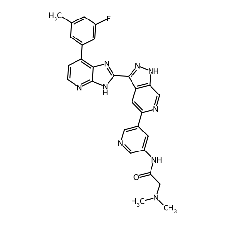 Cc1cc(F)cc(-c2ccnc3[nH]c(-c4n[nH]c5cnc(-c6cncc(NC(=O)CN(C)C)c6)cc45)nc23)c1